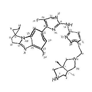 C[C@]12CNC[C@]1(C)CN(Cc1ccc(Nc3ncc(F)c(-c4cc(F)c5nc6n(c5c4)C4(CC6)CC4)n3)nc1)C2